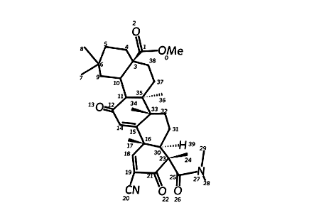 COC(=O)[C@]12CCC(C)(C)CC1C1C(=O)C=C3[C@@]4(C)C=C(C#N)C(=O)[C@@](C)(C(=O)N(C)C)[C@@H]4CC[C@@]3(C)[C@]1(C)CC2